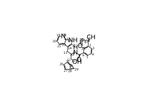 C#Cc1cccc(C(=O)NC(CO)Cc2c[nH]c3ncccc23)c1OC(C)C.c1cc2cc-2c1